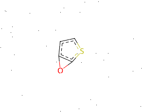 c1cc2c(s1)O2